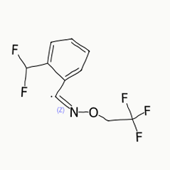 FC(F)c1ccccc1/[C]=N\OCC(F)(F)F